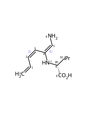 C=C/C=C\C(=C/N)N[C@@H](C(=O)O)C(C)C